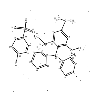 CC(C)c1cc(C(C)C)c([S+](c2ccccc2)c2ccccc2)c(C(C)C)c1.O=S(=O)([O-])c1ccc(F)cc1